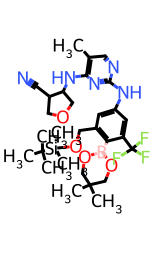 Cc1cnc(Nc2cc(CO[Si](C)(C)C(C)(C)C)c(B3OCC(C)(C)CO3)c(C(F)(F)F)c2)nc1NC1COCC1C#N